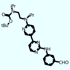 CC(C)N(CCN(c1ccc(-c2ccnc(Nc3cccc(C=O)c3)n2)cn1)C(C)C)C(=O)OC(C)(C)C